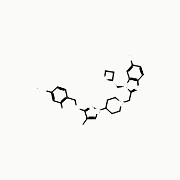 CC(=O)c1ccc2nc(CN3CCC(n4cc(C)c(OCc5ccc(C#N)cc5F)n4)CC3)n(C[C@@H]3CCO3)c2c1